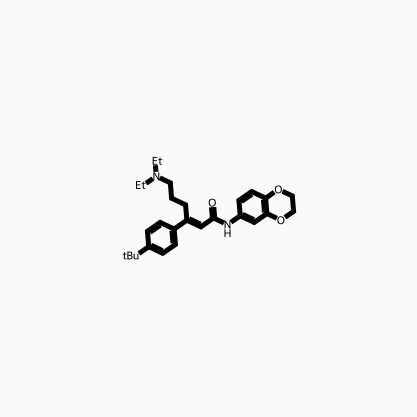 CCN(CC)CCC/C(=C\C(=O)Nc1ccc2c(c1)OCCO2)c1ccc(C(C)(C)C)cc1